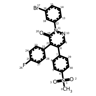 CS(=O)(=O)c1ccc(-c2cnn(-c3cccc(Br)c3)c(=O)c2-c2ccc(F)cc2)cc1